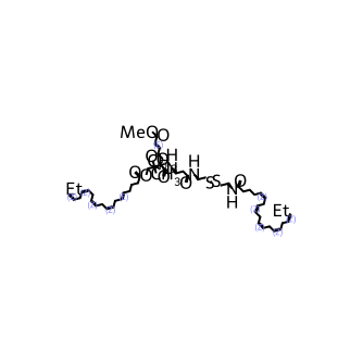 CC/C=C\C/C=C\C/C=C\C/C=C\C/C=C\CCCC(=O)NCCSSCCNC(=O)CCNC(=O)[C@H](OC(=O)/C=C/C(=O)OC)C(C)(C)COC(=O)CCC/C=C/C/C=C\C/C=C\C/C=C\C/C=C\CC